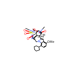 COc1ccc(C2CCCCC2)c2c1cc1n2CC2=C3C(=O)NS(=O)(=O)N(C)CCOCCN(C)C(=O)[C@H]4CC=CC(=C23)[C@@H]14